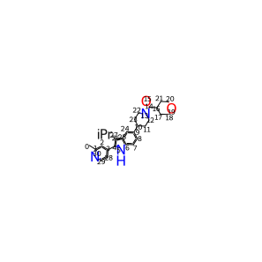 Cc1cc(-c2[nH]c3ccc(C4CCN(C(=O)C5CCOCC5)CC4)cc3c2C(C)C)ccn1